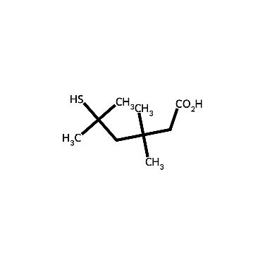 CC(C)(S)CC(C)(C)CC(=O)O